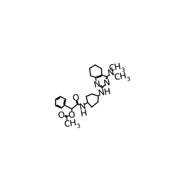 CC(=O)OC(C(=O)NC1CCC(Nc2nc3c(c(N(C)C)n2)CCCC3)CC1)c1ccccc1